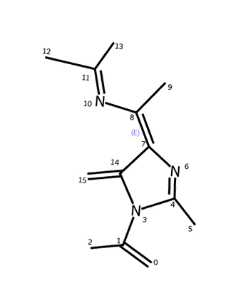 C=C(C)n1c(C)n/c(=C(\C)N=C(C)C)c1=C